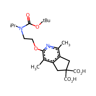 Cc1nc(OCCN(C(=O)OC(C)(C)C)C(C)C)c(C)c2c1CC(C(=O)O)(C(=O)O)C2